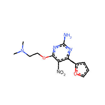 CN(C)CCOc1nc(N)nc(-c2ccco2)c1[N+](=O)[O-]